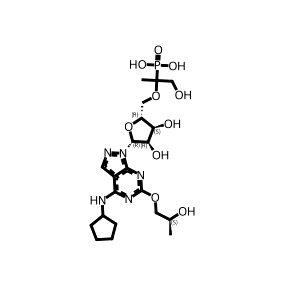 C[C@H](O)COc1nc(NC2CCCC2)c2cnn([C@@H]3O[C@H](COC(C)(CO)P(=O)(O)O)[C@@H](O)[C@H]3O)c2n1